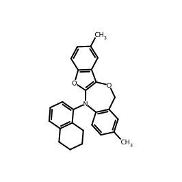 Cc1ccc2c(c1)COc1c(oc3ccc(C)cc13)N2c1cccc2c1CCCC2